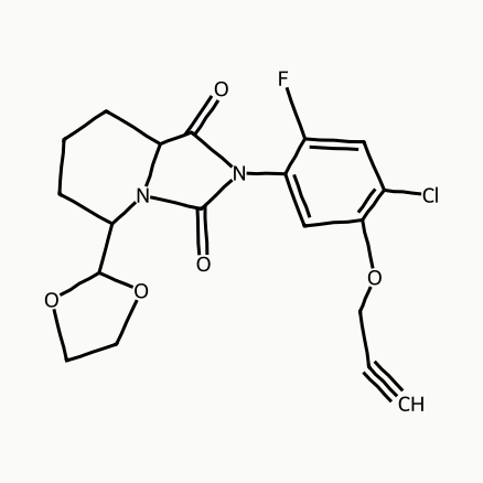 C#CCOc1cc(N2C(=O)C3CCCC(C4OCCO4)N3C2=O)c(F)cc1Cl